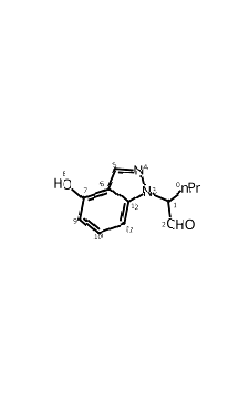 CCCC(C=O)n1ncc2c(O)cccc21